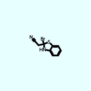 N#CCC1(Br)Nc2ccccc2S1